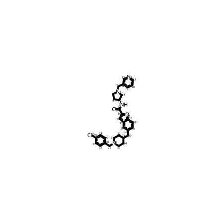 O=C(N[C@H]1CCN(Cc2cccnc2)C1)c1cc2cc(CC3CCN(Cc4ccc(Cl)cc4)CC3)ccc2o1